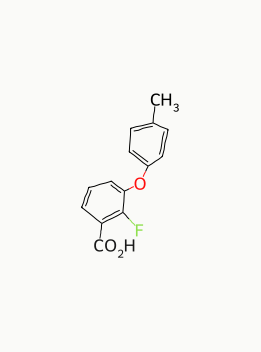 Cc1ccc(Oc2cccc(C(=O)O)c2F)cc1